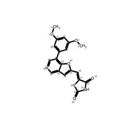 COc1cc(OC)cc(-c2cncc3cc(/C=C4\SC(=O)NC4=O)oc23)c1